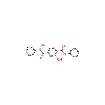 O=C(Nc1ccccc1)c1ccc(C(=O)N(O)c2ccccc2)cc1O